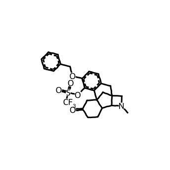 CN1CC23Cc4ccc(OCc5ccccc5)c(OS(=O)(=O)C(F)(F)F)c4C4(CC(=O)CCC4C12)C3